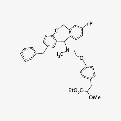 CCCc1ccc2c(c1)CCc1ccc(Cc3ccccc3)cc1C2N(C)CCOc1ccc(CC(OC)C(=O)OCC)cc1